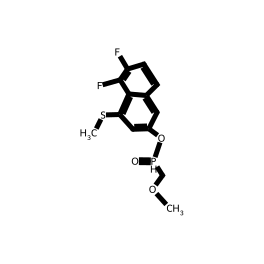 COC[PH](=O)Oc1cc(SC)c2c(F)c(F)ccc2c1